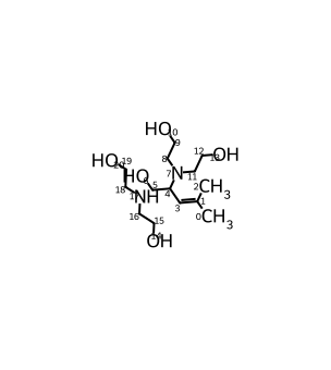 CC(C)=CC(CO)N(CCO)CCO.OCCNCCO